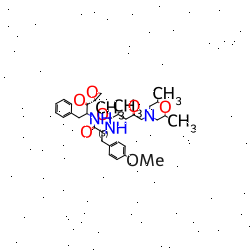 COc1ccc(C[C@H](NC(=O)C(C)CC(=O)CN2CC(C)OC(C)C2)C(=O)NC(Cc2ccccc2)C(=O)C2(C)CO2)cc1